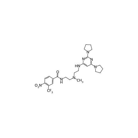 CN(CCNC(=O)c1ccc([N+](=O)[O-])c(C(F)(F)F)c1)CCNc1cc(N2CCCC2)nc(N2CCCC2)n1